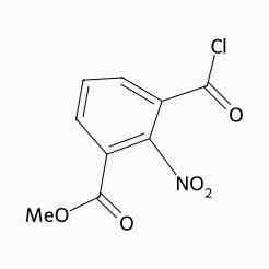 COC(=O)c1cccc(C(=O)Cl)c1[N+](=O)[O-]